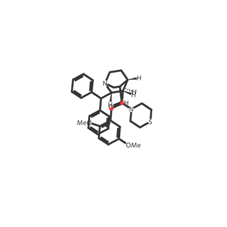 COc1ccc(OC)c(CN[C@H]2[C@H]3CCN(C[C@@H]3C(=O)N3CCSCC3)[C@H]2C(c2ccccc2)c2ccccc2)c1